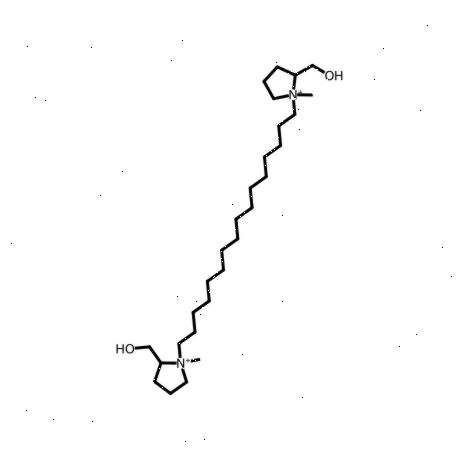 C[N+]1(CCCCCCCCCCCCCCCC[N+]2(C)CCCC2CO)CCCC1CO